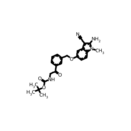 Cn1c(N)c(C#N)c2cc(OCc3cccc(C(=O)CNC(=O)OC(C)(C)C)c3)ccc21